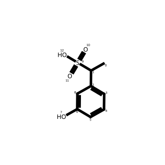 CC(c1cccc(O)c1)S(=O)(=O)O